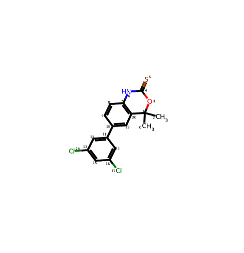 CC1(C)OC(=S)Nc2ccc(-c3cc(Cl)cc(Cl)c3)cc21